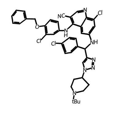 CC(C)(C)N1CCC(n2cc(C(Nc3cc(Cl)c4ncc(C#N)c(Nc5ccc(OCc6ccccc6)c(Cl)c5)c4c3)c3ccc(Cl)cc3)nn2)CC1